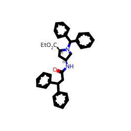 CCOC(=O)[C@@H]1C[C@H](NC(=O)CC(c2ccccc2)c2ccccc2)CN1C(c1ccccc1)c1ccccc1